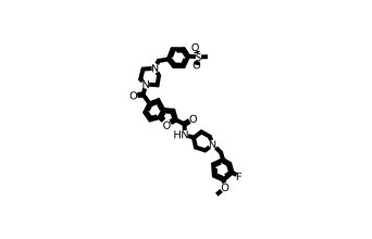 COc1ccc(CN2CCC(NC(=O)c3cc4cc(C(=O)N5CCN(Cc6ccc(S(C)(=O)=O)cc6)CC5)ccc4o3)CC2)cc1F